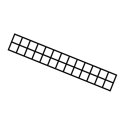 CC12C3C4C5C6C7C8CC9CC%10C%11C%12C%13C(C%14C%15C%16C%17C%18C%19CC%20CC%21C%22C%23C%24C%25C3C%141C%25%15C%24%16C%23%17C%22%18C%20%21%19)C42C5%13C6%12C7%11C98%10